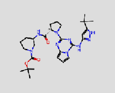 CC(C)(C)OC(=O)N1CCCC(NC(=O)[C@@H]2CCCN2c2nc(Nc3cc(C(C)(C)C)[nH]n3)n3cccc3n2)C1